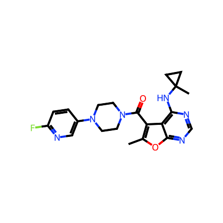 Cc1oc2ncnc(NC3(C)CC3)c2c1C(=O)N1CCN(c2ccc(F)nc2)CC1